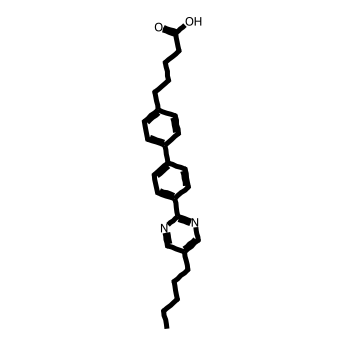 CCCCCc1cnc(-c2ccc(-c3ccc(CCCCC(=O)O)cc3)cc2)nc1